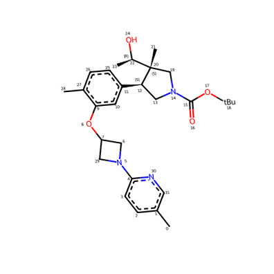 Cc1ccc(N2CC(Oc3cc([C@@H]4CN(C(=O)OC(C)(C)C)C[C@@]4(C)[C@@H](C)O)ccc3C)C2)nc1